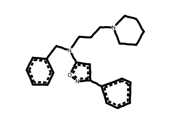 c1ccc(CN(CCCN2CCCCC2)c2cc(-c3ccccc3)no2)cc1